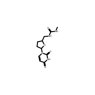 CNC(=O)NCC1CCC(n2ccc(=O)[nH]c2=O)O1